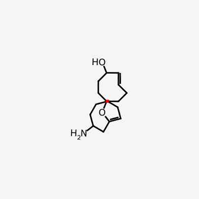 NC1CCCC/C=C(\OC2CC/C=C/C(O)CC2)C1